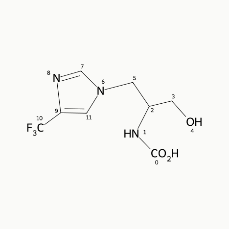 O=C(O)NC(CO)Cn1cnc(C(F)(F)F)c1